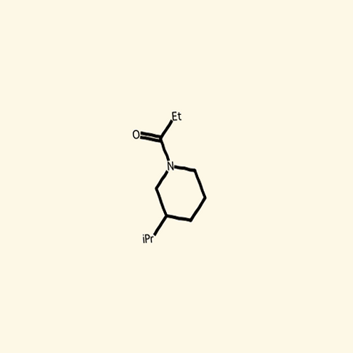 CCC(=O)N1CCCC(C(C)C)C1